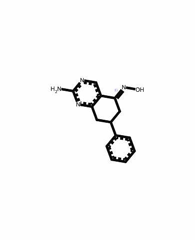 Nc1ncc2c(n1)CC(c1ccccc1)C/C2=N\O